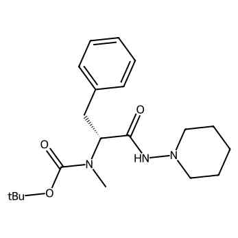 CN(C(=O)OC(C)(C)C)[C@H](Cc1ccccc1)C(=O)NN1CCCCC1